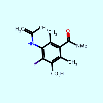 C=C(C)Nc1c(C)c(C(=O)NC)c(C)c(C(=O)O)c1I